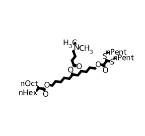 CCCCCCCCC(CCCCCC)C(=O)OCCCCCC(CCCCCOC(=O)C(SCCCCC)SCCCCC)OC(=O)CCCN(C)C